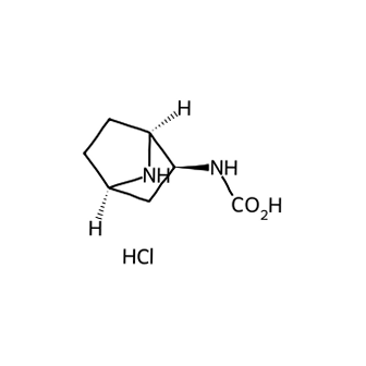 Cl.O=C(O)N[C@H]1C[C@H]2CC[C@@H]1N2